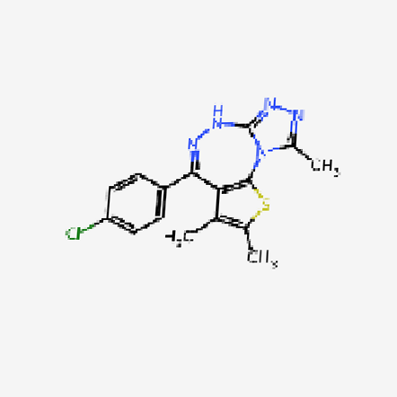 Cc1sc2c(c1C)C(c1ccc(Cl)cc1)=NNc1nnc(C)n1-2